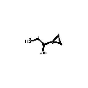 OCC(O)C1[CH]C1